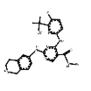 CC(C)NC(=O)c1cnc(Nc2ccc3c(c2)CCNC3)nc1Nc1ccc(F)c(C(C)(C)C#N)n1